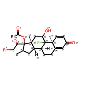 CCC(=O)O[C@]1(C(=O)CBr)C(C)C[C@H]2[C@@H]3CCC4=CC(=O)C=C[C@]4(C)[C@@]3(F)C(O)C[C@@]21C